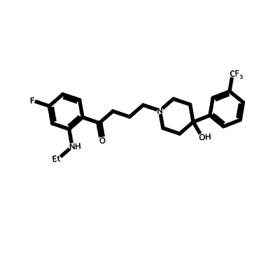 CCNc1cc(F)ccc1C(=O)CCCN1CCC(O)(c2cccc(C(F)(F)F)c2)CC1